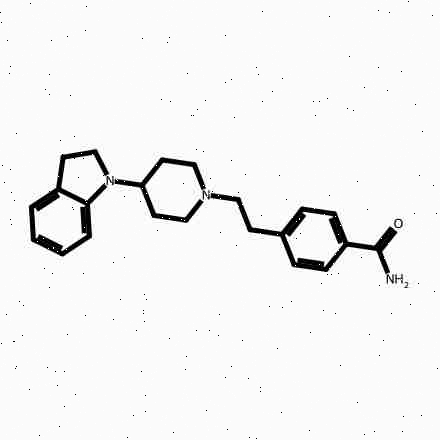 NC(=O)c1ccc(CCN2CCC(N3CCc4ccccc43)CC2)cc1